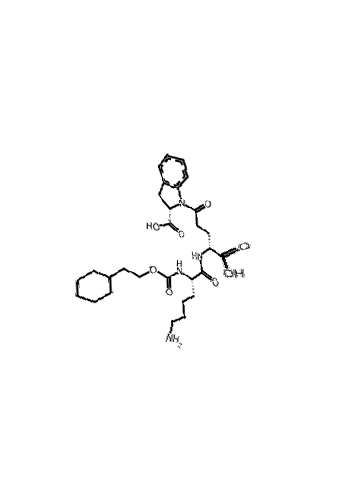 NCCCC[C@H](NC(=O)OCCC1CCCCC1)C(=O)N[C@H](CCC(=O)N1c2ccccc2C[C@H]1C(=O)O)C(=O)O